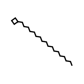 CCCCCCCCCCCCCCCCCC[C]1CCC1